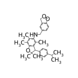 Cc1c(C)c2c(c(C)c1NCc1ccc3c(c1)COO3)C(c1ccc(C(C)C)cc1)C(C)(C)O2